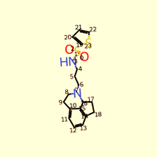 O=S(=O)(NCCCN1CCc2cccc3c2C1CC3)c1cccs1